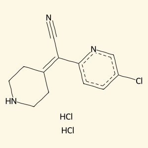 Cl.Cl.N#CC(=C1CCNCC1)c1ccc(Cl)cn1